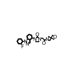 O=C(CN1CCN(c2cccc3c2cnn3-c2ccccc2F)C1=O)N1CC2(COC2)C1